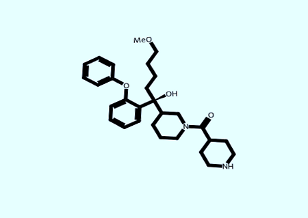 COCCCC[C@@](O)(c1ccccc1Oc1ccccc1)C1CCCN(C(=O)C2CCNCC2)C1